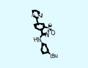 CC(C)(C)c1ccc(NC2=NS(=O)(=O)c3cc(-c4ncccn4)ccc32)cc1